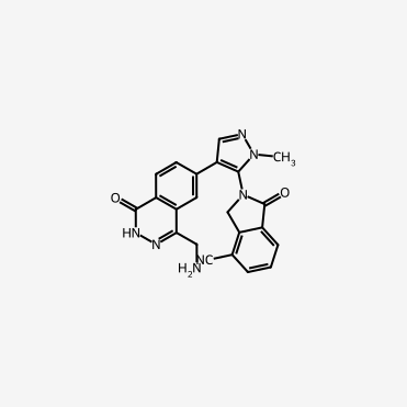 Cn1ncc(-c2ccc3c(=O)[nH]nc(CN)c3c2)c1N1Cc2c(C#N)cccc2C1=O